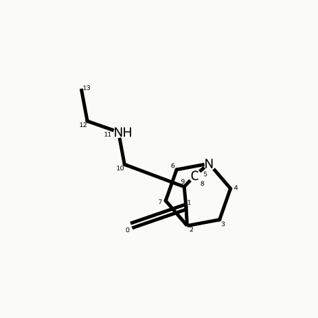 C=C1C2CCN(CC2)CC1CNCC